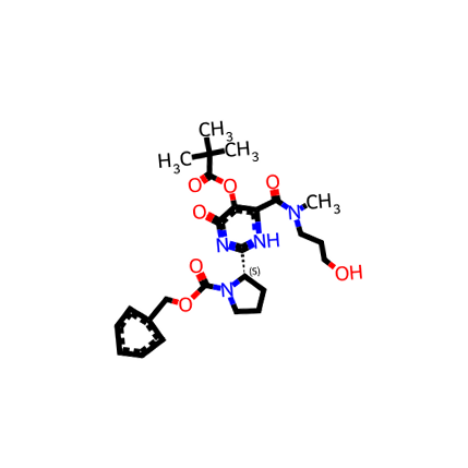 CN(CCCO)C(=O)c1[nH]c([C@@H]2CCCN2C(=O)OCc2ccccc2)nc(=O)c1OC(=O)C(C)(C)C